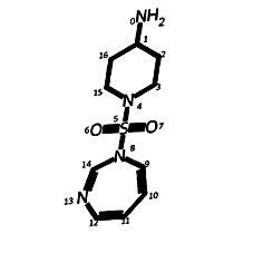 NC1CCN(S(=O)(=O)N2C=CC=CN=C2)CC1